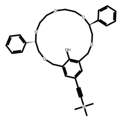 C[Si](C)(C)C#Cc1cc2c(O)c(c1)COC[C@H](c1ccccc1)OCCOCCO[C@@H](c1ccccc1)COC2